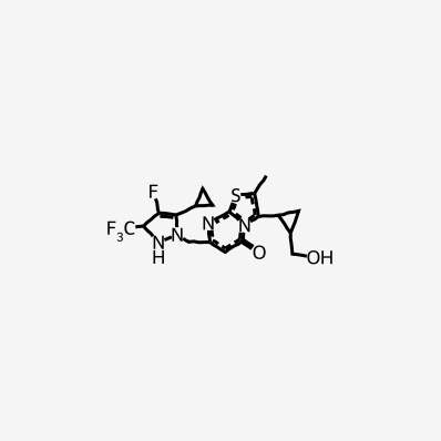 Cc1sc2nc(CN3NC(C(F)(F)F)C(F)=C3C3CC3)cc(=O)n2c1C1CC1CO